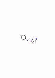 CN1C(c2ccc(Cl)cc2)=NOC12C1CC3CC2CN(C3)C1